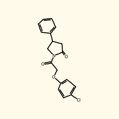 O=C(COc1ccc(Cl)cc1)N1CC(c2ccccc2)CC1=O